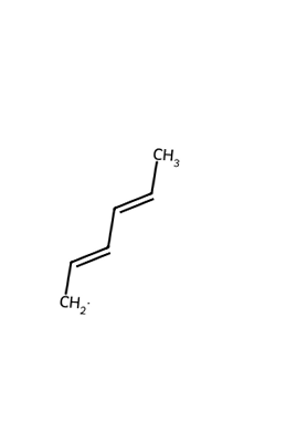 [CH2]/C=C/C=CC